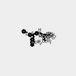 COc1cc(Cc2c(-c3ccc(NC(=O)C[C@H](CO[Si](C)(C)C(C)(C)C)NC(=O)OC(C)(C)C)cc3)sc3cc(OCc4ccccc4)ccc23)ccc1CN1CCCC1